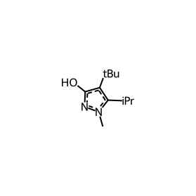 CC(C)c1c(C(C)(C)C)c(O)nn1C